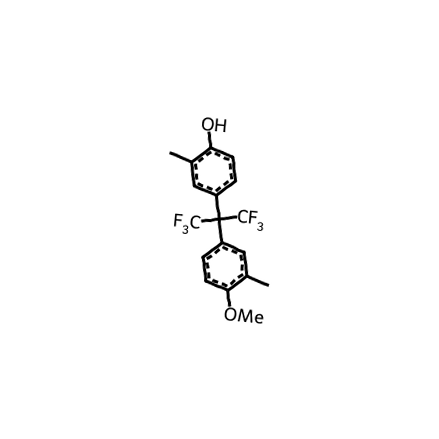 COc1ccc(C(c2ccc(O)c(C)c2)(C(F)(F)F)C(F)(F)F)cc1C